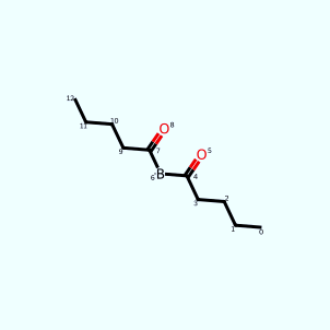 CCCCC(=O)[B]C(=O)CCCC